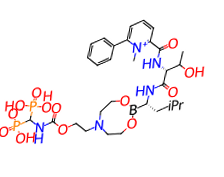 CC(C)C[C@@H](NC(=O)[C@H](NC(=O)c1cccc(-c2ccccc2)[n+]1C)C(C)O)B1OCCN(CCOC(=O)NC(P(=O)([O-])O)P(=O)(O)O)CCO1